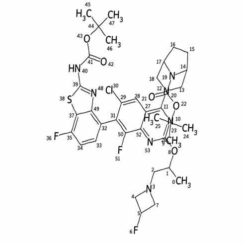 CC(CN1CC(F)C1)Oc1nc(N2CC3CCC(C2)N3C(=O)OC(C)(C)C)c2cc(Cl)c(-c3ccc(F)c4sc(NC(=O)OC(C)(C)C)nc34)c(F)c2n1